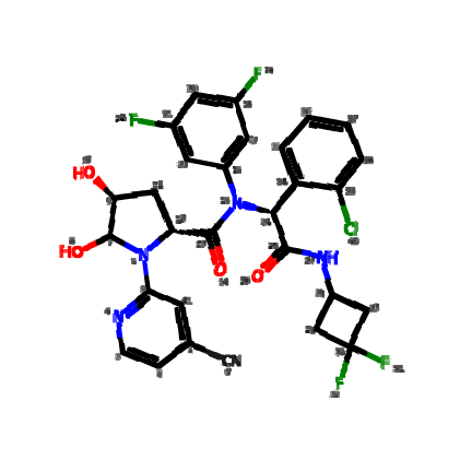 N#Cc1ccnc(N2C(O)[C@@H](O)C[C@H]2C(=O)N(c2cc(F)cc(F)c2)[C@H](C(=O)NC2CC(F)(F)C2)c2ccccc2Cl)c1